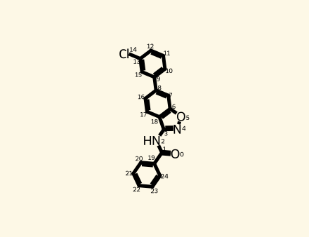 O=C(Nc1noc2cc(-c3cccc(Cl)c3)ccc12)c1ccccc1